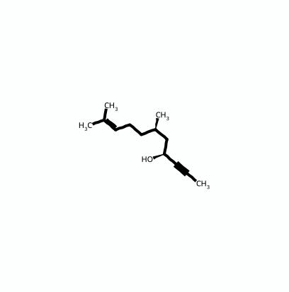 CC#C[C@@H](O)C[C@H](C)CCC=C(C)C